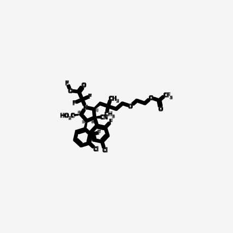 CC(C)(CCOCCOC(=O)C(F)(F)F)C[C@@H]1N(C(F)(F)C(=O)OF)[C@@H](C(=O)O)[C@H](c2cccc(Cl)c2F)[C@@]1(C#N)c1ccc(Cl)cc1F